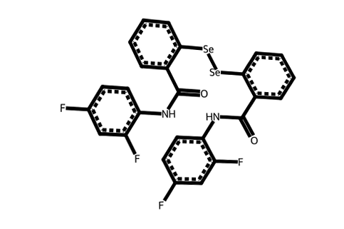 O=C(Nc1ccc(F)cc1F)c1ccccc1[Se][Se]c1ccccc1C(=O)Nc1ccc(F)cc1F